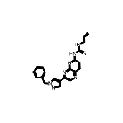 C=CCNC(=S)Nc1ccc2ncc(-c3cnn(Cc4ccccc4)c3)nc2n1